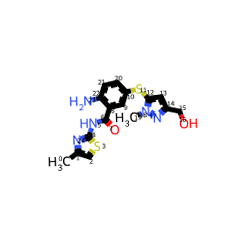 Cc1csc(NC(=O)c2cc(Sc3cc(CO)nn3C)ccc2N)n1